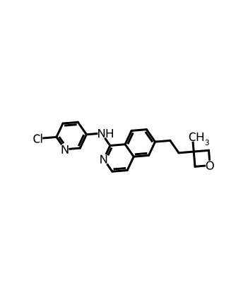 CC1(CCc2ccc3c(Nc4ccc(Cl)nc4)nccc3c2)COC1